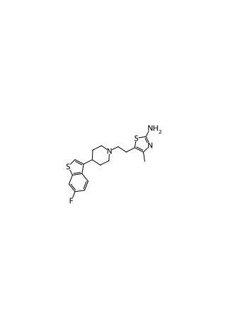 Cc1nc(N)sc1CCN1CCC(c2csc3cc(F)ccc23)CC1